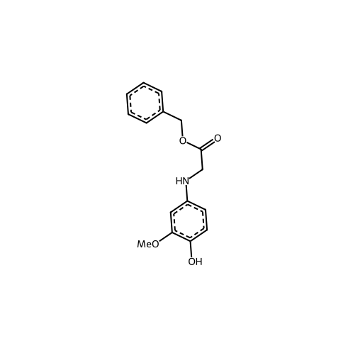 COc1cc(NCC(=O)OCc2ccccc2)ccc1O